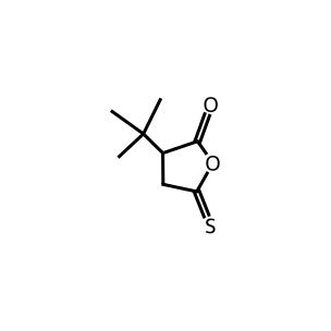 CC(C)(C)C1CC(=S)OC1=O